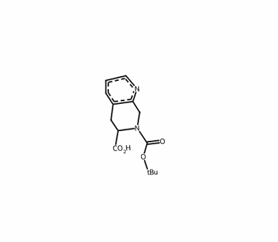 CC(C)(C)OC(=O)N1Cc2ncccc2CC1C(=O)O